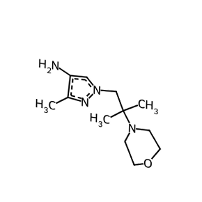 Cc1nn(CC(C)(C)N2CCOCC2)cc1N